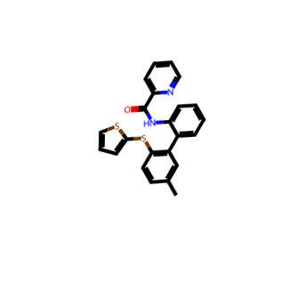 Cc1ccc(Sc2cccs2)c(-c2ccccc2NC(=O)c2ccccn2)c1